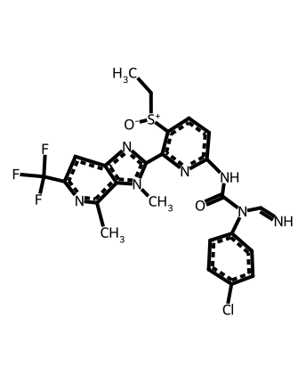 CC[S+]([O-])c1ccc(NC(=O)N(C=N)c2ccc(Cl)cc2)nc1-c1nc2cc(C(F)(F)F)nc(C)c2n1C